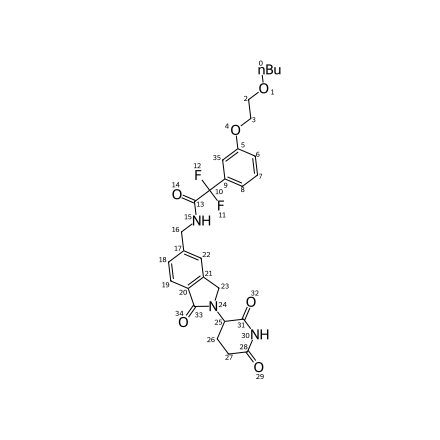 CCCCOCCOc1cccc(C(F)(F)C(=O)NCc2ccc3c(c2)CN(C2CCC(=O)NC2=O)C3=O)c1